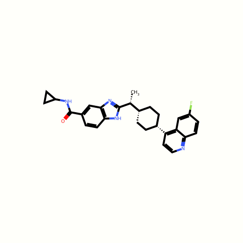 C[C@@H](c1nc2cc(C(=O)NC3CC3)ccc2[nH]1)[C@H]1CC[C@@H](c2ccnc3ccc(F)cc32)CC1